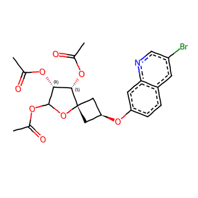 CC(=O)OC1O[C@]2(C[C@H](Oc3ccc4cc(Br)cnc4c3)C2)[C@@H](OC(C)=O)[C@H]1OC(C)=O